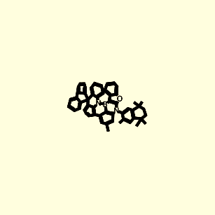 Cc1cc2c3c(c1)N(c1cc4c(cc1C)C(C)(C)CCC4(C)C)c1oc4ccccc4c1B3N1c3ccccc3C3(c4ccccc4-c4ccccc43)c3cccc-2c31